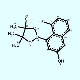 CC1(C)OB(c2cc(O)cc3cccc(F)c23)OC1(C)C